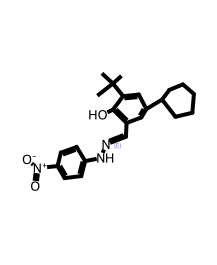 CC(C)(C)c1cc(C2CCCCC2)cc(/C=N/Nc2ccc([N+](=O)[O-])cc2)c1O